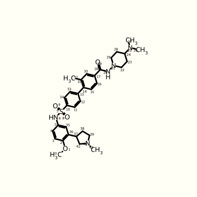 COc1ccc(NS(=O)(=O)c2ccc(-c3ccc(C(=O)NN4CCC(N(C)C)CC4)cc3C)cc2)cc1C1CCN(C)C1